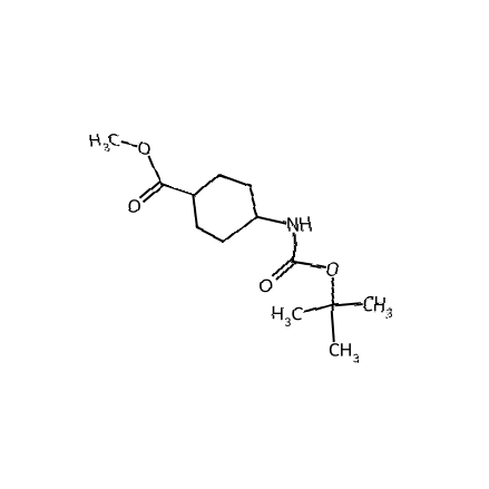 COC(=O)C1CCC(NC(=O)OC(C)(C)C)CC1